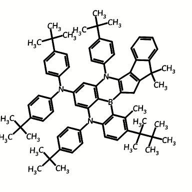 Cc1c(C(C)(C)C(C)(C)C)ccc2c1B1C3=C(C4=C(C3)C(C)(C)c3ccccc34)N(c3ccc(C(C)(C)C)cc3)c3cc(N(c4ccc(C(C)(C)C)cc4)c4ccc(C(C)(C)C)cc4)cc(c31)N2c1ccc(C(C)(C)C)cc1